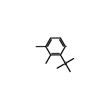 Cc1cc[c]c([Si](C)(C)C)c1C